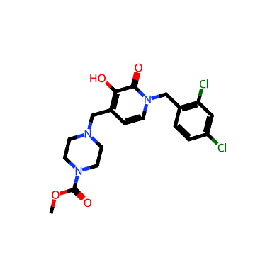 COC(=O)N1CCN(Cc2ccn(Cc3ccc(Cl)cc3Cl)c(=O)c2O)CC1